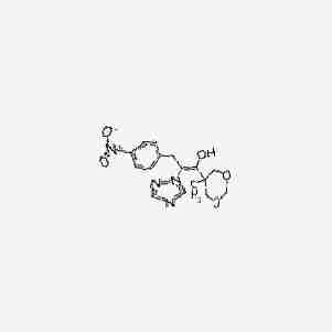 CC1(/C(O)=C(/Cc2ccc([N+](=O)[O-])cc2)n2cncn2)COCOC1